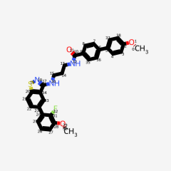 COc1ccc(-c2ccc(C(=O)NCCCNc3nsc4ccc(-c5cccc(OC)c5F)cc34)cc2)cc1